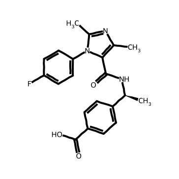 Cc1nc(C)n(-c2ccc(F)cc2)c1C(=O)N[C@@H](C)c1ccc(C(=O)O)cc1